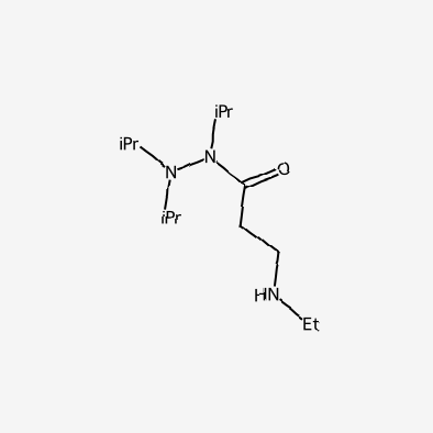 CCNCCC(=O)N(C(C)C)N(C(C)C)C(C)C